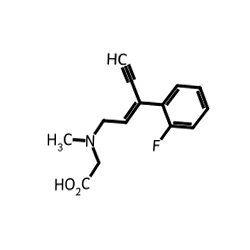 C#CC(=CCN(C)CC(=O)O)c1ccccc1F